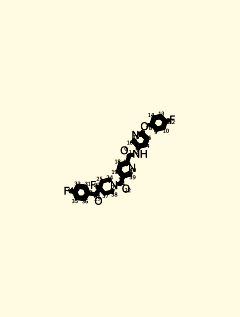 O=C(Nc1ccc(Oc2ccc(F)cc2)nc1)c1ccc(C(=O)N2CCC(F)(C(=O)c3ccc(F)cc3)CC2)cn1